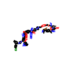 Cc1ncsc1-c1ccc([C@H](C)NC(=O)[C@@H]2C[C@@H](O)CN2C(=O)[C@@H](NCCOCCOCCN2CCN(C3CCC(CNc4ccc(S(=O)(=O)NC(=O)c5ccc(N6CCN(CC7=C(c8ccc(Cl)cc8)CC(C)(C)CC7)CC6)cc5Oc5cnc6[nH]ccc6c5)cc4NO)CC3)CC2)C(C)(C)C)cc1